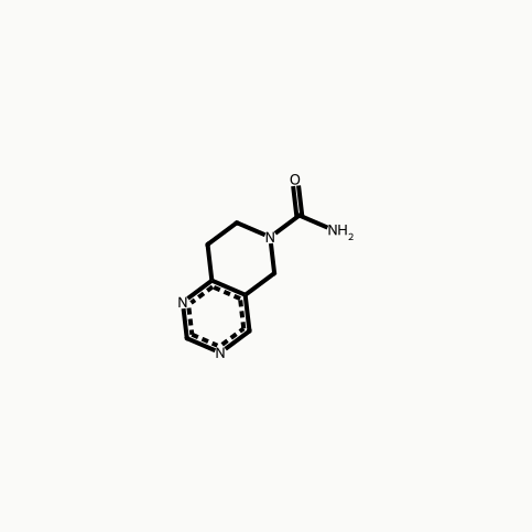 NC(=O)N1CCc2ncncc2C1